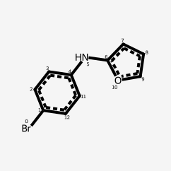 Brc1ccc(Nc2ccco2)cc1